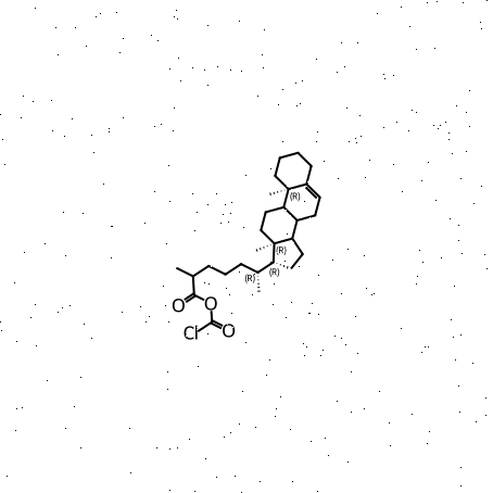 CC(CCC[C@@H](C)[C@H]1CCC2C3CC=C4CCCC[C@]4(C)C3CC[C@@]21C)C(=O)OC(=O)Cl